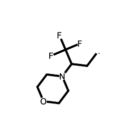 [CH2]CC(N1CCOCC1)C(F)(F)F